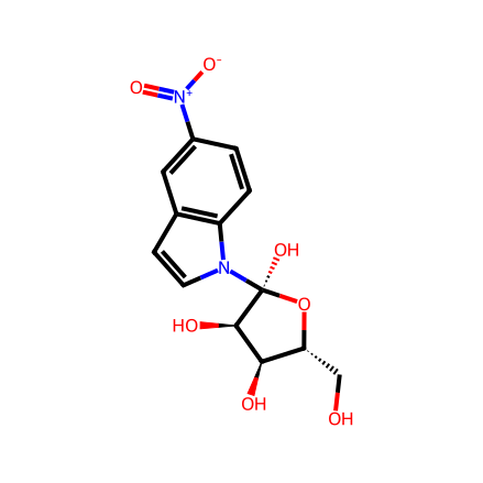 O=[N+]([O-])c1ccc2c(ccn2[C@@]2(O)O[C@H](CO)[C@@H](O)[C@H]2O)c1